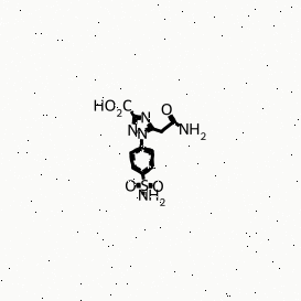 NC(=O)Cc1nc(C(=O)O)nn1-c1ccc(S(N)(=O)=O)cc1